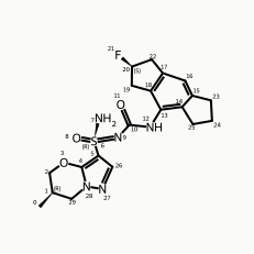 C[C@H]1COc2c([S@](N)(=O)=NC(=O)Nc3c4c(cc5c3C[C@@H](F)C5)CCC4)cnn2C1